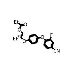 CCC(=O)OC[C@@H](CC)Oc1ccc(Oc2ccc(C#N)cc2F)cc1